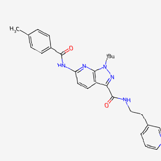 Cc1ccc(C(=O)Nc2ccc3c(C(=O)NCCc4cccnc4)nn(C(C)(C)C)c3n2)cc1